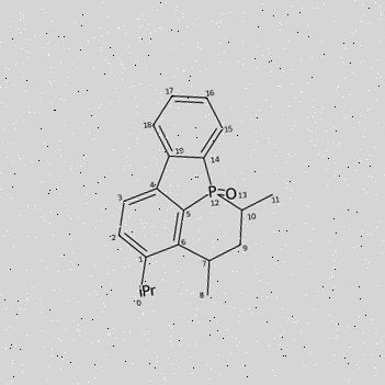 CC(C)c1ccc2c3c1C(C)CC(C)P3(=O)c1ccccc1-2